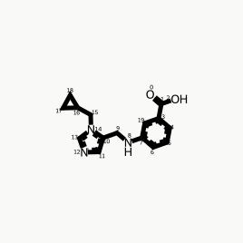 O=C(O)c1cccc(NCc2cncn2CC2CC2)c1